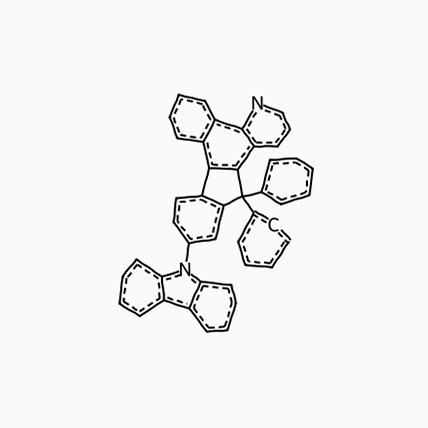 c1ccc(C2(c3ccccc3)c3cc(-n4c5ccccc5c5ccccc54)ccc3-c3c2c2cccnc2c2ccccc32)cc1